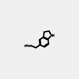 [CH2]CCCCCc1ccc2c(c1)CCN2